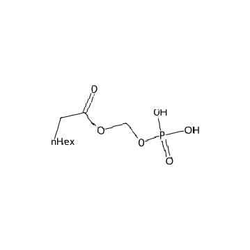 CCCCCCCC(=O)OCOP(=O)(O)O